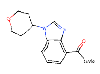 COC(=O)c1cccc2c1ncn2C1CCOCC1